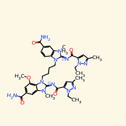 CCn1nc(C)cc1C(=O)/N=c1\n(C)c2cc(C(N)=O)ccc2n1CCCCn1/c(=N/C(=O)c2cc(C)nn2CC)n(C)c2cc(C(N)=O)cc(OC)c21